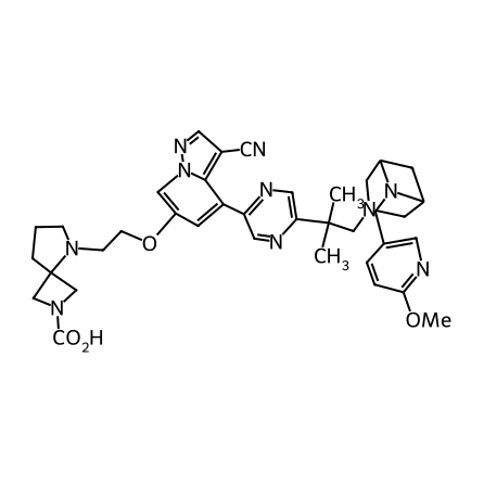 COc1ccc(CN2C3CC2CN(CC(C)(C)c2cnc(-c4cc(OCCN5CCCC56CN(C(=O)O)C6)cn5ncc(C#N)c45)cn2)C3)cn1